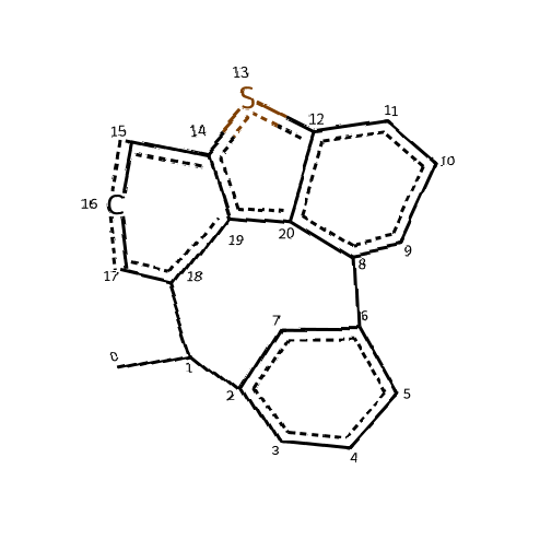 CC1c2cccc(c2)-c2cccc3sc4cccc1c4c23